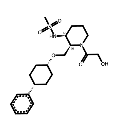 CS(=O)(=O)N[C@H]1CCCN(C(=O)CO)[C@H]1CO[C@H]1CC[C@@H](c2ccccc2)CC1